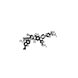 COc1cc(N2CCN(c3cnc(N(C)C)cn3)CC2)c(-c2cnn(C)c2)cc1Nc1ncc(Br)c(Nc2ccc3nc(C4CC4)ccc3c2P(C)(C)=O)n1